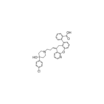 O=C(O)c1ccccc1-c1cccc2c1C/C(=C/CCN1CCC(O)(c3ccc(Cl)cc3)CC1)c1cccnc1O2